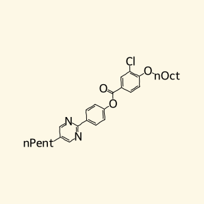 CCCCCCCCOc1ccc(C(=O)Oc2ccc(-c3ncc(CCCCC)cn3)cc2)cc1Cl